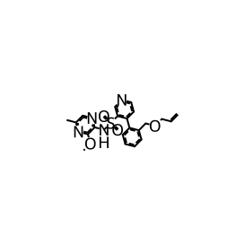 C=CCOCc1ccccc1-c1ccncc1S(=O)(=O)Nc1ncc(C)nc1OC